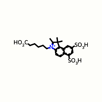 CC1=[N+](CCCCCC(=O)O)c2ccc3c(S(=O)(=O)O)cc(S(=O)(=O)O)cc3c2C1(C)C